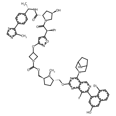 CCc1cccc2cc(O)cc(-c3ncc4c(N5CC6CCC(C5)N6)nc(OC[C@@H]5CC[C@@H](COC(=O)N6CC(Oc7cc([C@@H](C(=O)N8C[C@H](O)C[C@H]8C(=O)N[C@@H](C)c8ccc(-c9scnc9C)cc8)C(C)C)on7)C6)N5C)nc4c3F)c12